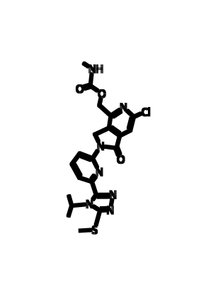 CNC(=O)OCc1nc(Cl)cc2c1CN(c1cccc(-c3nnc(SC)n3C(C)C)n1)C2=O